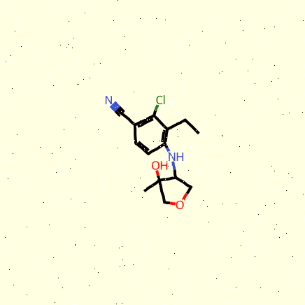 CCc1c(NC2COCC2(C)O)ccc(C#N)c1Cl